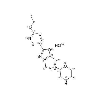 CCOc1ccc(-c2nc3ccc([C@@H]4CNCCO4)cc3o2)cn1.Cl